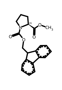 COC(=O)[C@@H]1CCCN1C(=O)OCC1c2ccccc2-c2ccccc21